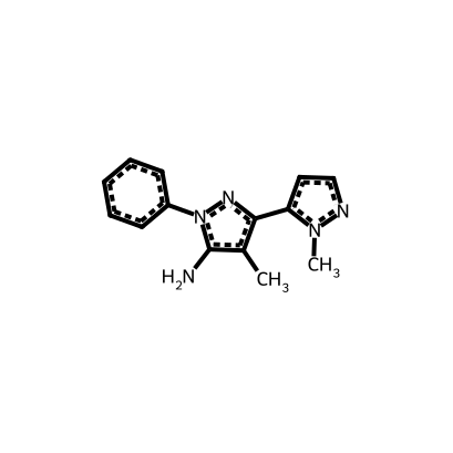 Cc1c(-c2ccnn2C)nn(-c2ccccc2)c1N